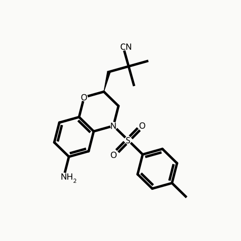 Cc1ccc(S(=O)(=O)N2C[C@H](CC(C)(C)C#N)Oc3ccc(N)cc32)cc1